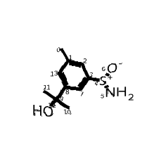 Cc1cc([S+](N)[O-])cc(C(C)(C)O)c1